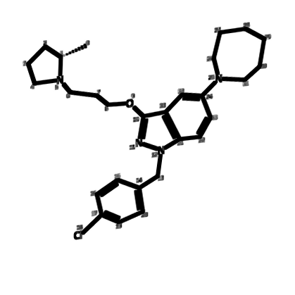 C[C@H]1CCCN1CCCOc1nn(Cc2ccc(Cl)cc2)c2ccc(N3CCCCCC3)cc12